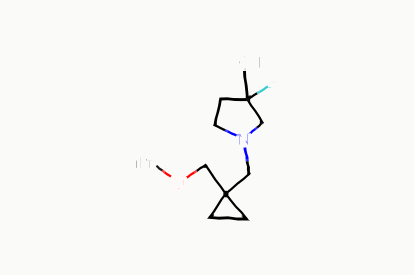 CC(C)OCC1(CN2CCC(C)(F)C2)CC1